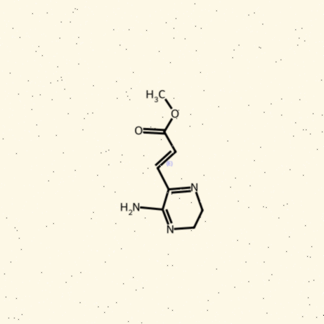 COC(=O)/C=C/C1=NCCN=C1N